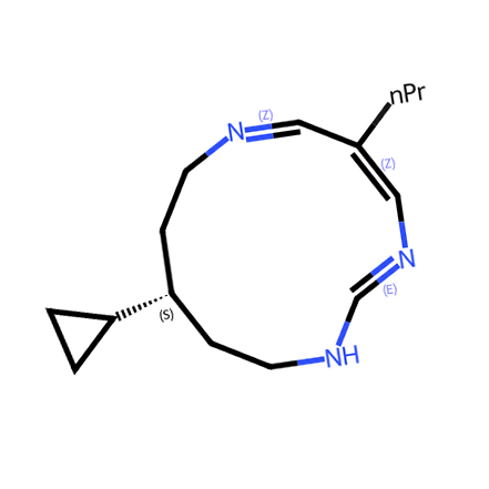 CCCC1=C/N=C/NCC[C@H](C2CC2)CC/N=C\1